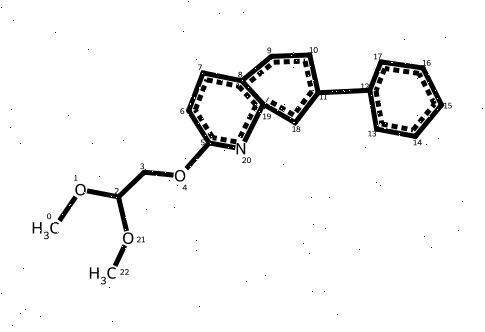 COC(COc1ccc2ccc(-c3ccccc3)cc2n1)OC